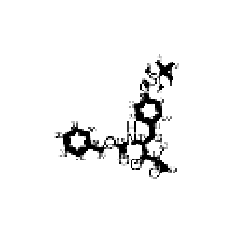 CC(C)(C)[Si](C)(C)Oc1ccc(CC(NC(=O)OCc2ccccc2)C(=O)[C@@]2(C)CO2)cc1